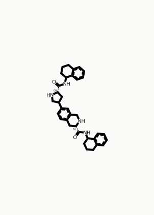 O=C(NC1CCCc2ccccc21)[C@@H]1Cc2ccc(C3CN[C@H](C(=O)NC4CCCc5ccccc54)C3)cc2CN1